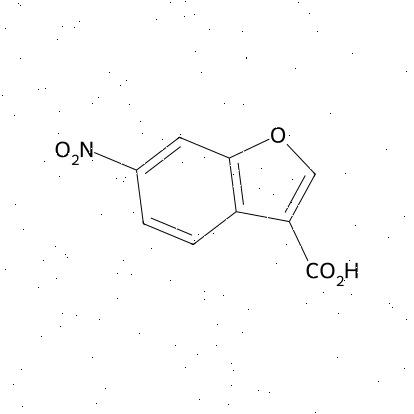 O=C(O)c1coc2cc([N+](=O)[O-])ccc12